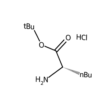 CCCC[C@H](N)C(=O)OC(C)(C)C.Cl